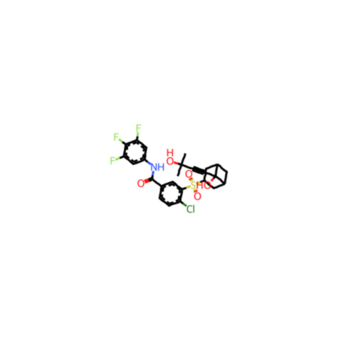 CC(C)(O)C#CC1(O)C2CC1CC(S(=O)(=O)c1cc(C(=O)Nc3cc(F)c(F)c(F)c3)ccc1Cl)C2